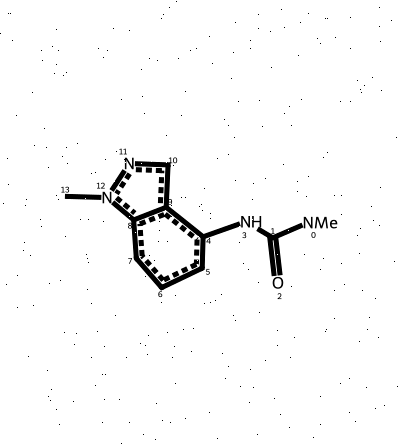 CNC(=O)Nc1cccc2c1cnn2C